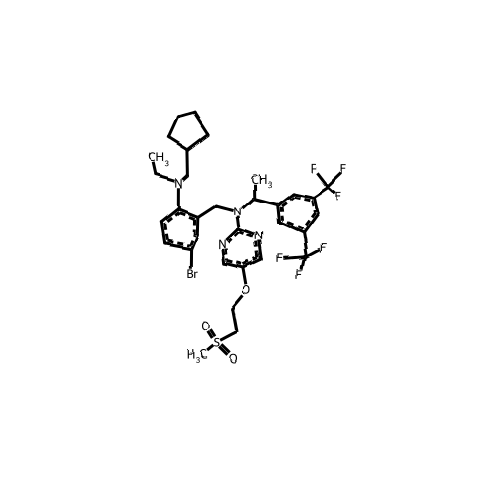 CCN(CC1CCCC1)c1ccc(Br)cc1CN(c1ncc(OCCS(C)(=O)=O)cn1)C(C)c1cc(C(F)(F)F)cc(C(F)(F)F)c1